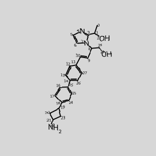 CC(O)c1nccn1C(/C=C/c1ccc(-c2ccc(C3CC(N)C3)cc2)cc1)CO